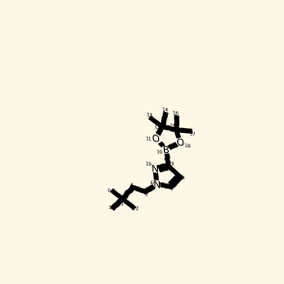 CC(C)(C)CCn1ccc(B2OC(C)(C)C(C)(C)O2)n1